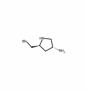 CC(C)(C)C[C@@H]1C[C@@H](N)CN1